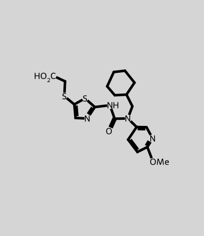 COc1ccc(N(CC2CCCCC2)C(=O)Nc2ncc(SCC(=O)O)s2)cn1